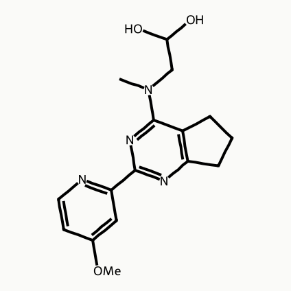 COc1ccnc(-c2nc3c(c(N(C)CC(O)O)n2)CCC3)c1